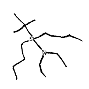 CCCC[Si](CCCC)(N(CC)CC)C(C)(C)C